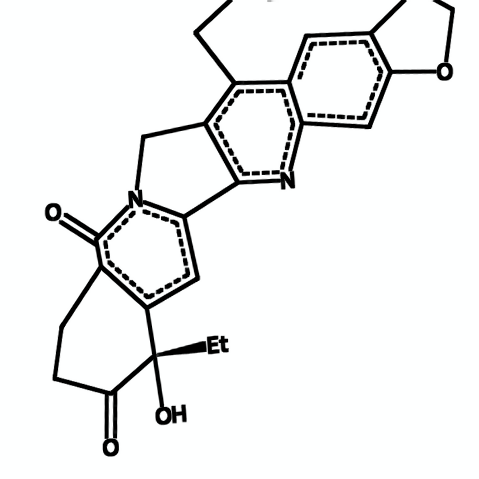 CC[C@@]1(O)C(=O)CCc2c1cc1n(c2=O)Cc2c-1nc1cc3c(cc1c2CN)OCO3